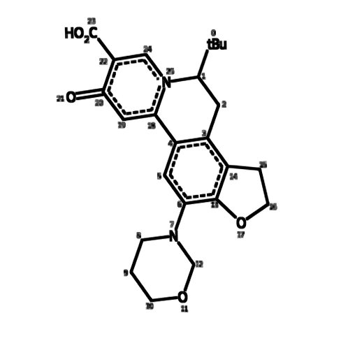 CC(C)(C)C1Cc2c(cc(N3CCCOC3)c3c2CCO3)-c2cc(=O)c(C(=O)O)cn21